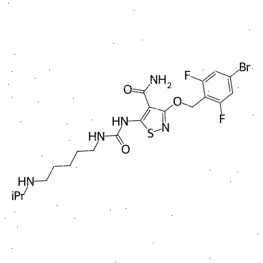 CC(C)NCCCCCNC(=O)Nc1snc(OCc2c(F)cc(Br)cc2F)c1C(N)=O